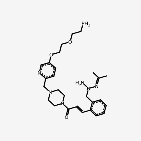 CC(C)=NN(N)Cc1ccccc1/C=C/C(=O)N1CCN(Cc2ccc(OCCOCCP)cn2)CC1